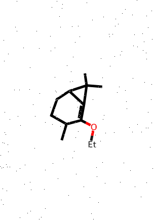 CCOC1=C2C(CCC1C)C2(C)C